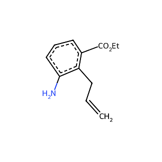 C=CCc1c(N)cccc1C(=O)OCC